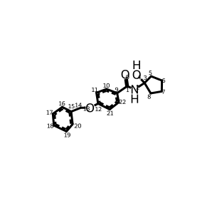 O=C(NC1(O)CCCC1)c1ccc(OCc2ccccc2)cc1